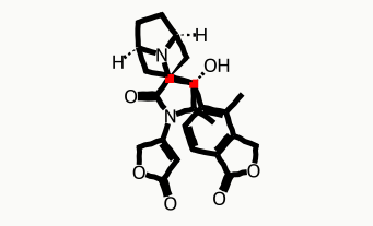 Cc1c([C@@H](O)CN2[C@@H]3CC[C@H]2C[C@]2(CC(C)N(C4=CC(=O)OC4)C2=O)C3)ccc2c1COC2=O